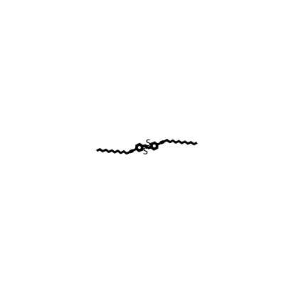 CCCCCCCCCCCC#Cc1ccc2c(c1)sc1c3ccc(C#CCCCCCCCCCCC)cc3sc21